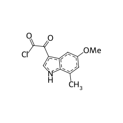 COc1cc(C)c2[nH]cc(C(=O)C(=O)Cl)c2c1